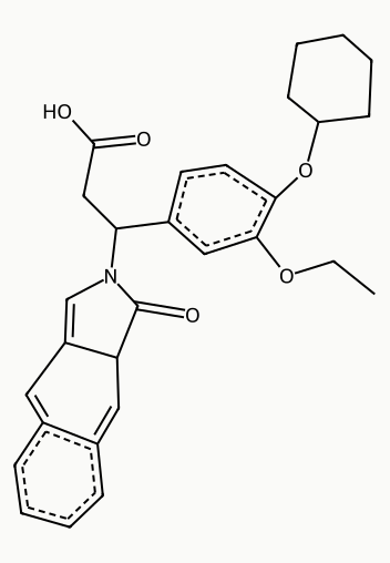 CCOc1cc(C(CC(=O)O)N2C=C3C=c4ccccc4=CC3C2=O)ccc1OC1CCCCC1